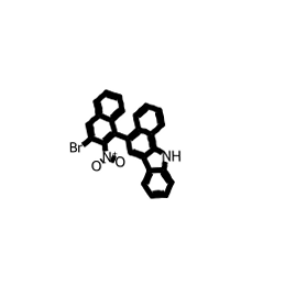 O=[N+]([O-])c1c(Br)cc2ccccc2c1-c1cc2c3ccccc3[nH]c2c2ccccc12